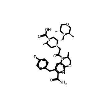 CC1COc2nc(C(N)=O)c(Cc3ccc(F)cc3)cc2N1C(=O)CN1C[C@@H](C)N(C(=O)O)C[C@@H]1CN1[C@H](C)COC[C@H]1C